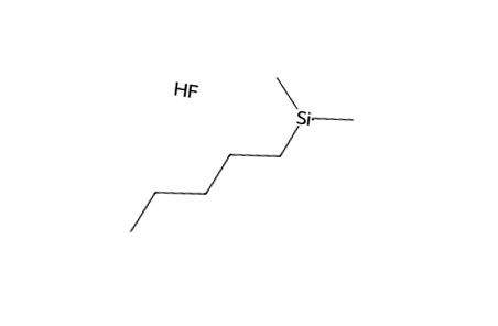 CCCCC[Si](C)C.F